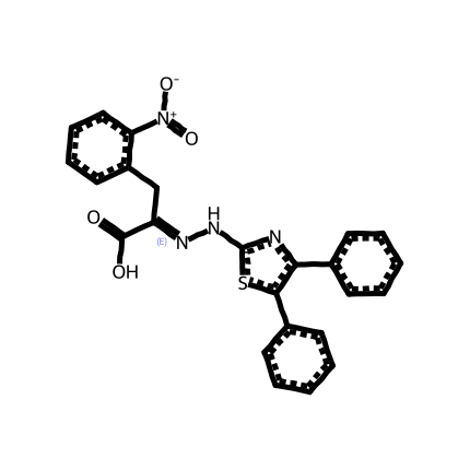 O=C(O)/C(Cc1ccccc1[N+](=O)[O-])=N/Nc1nc(-c2ccccc2)c(-c2ccccc2)s1